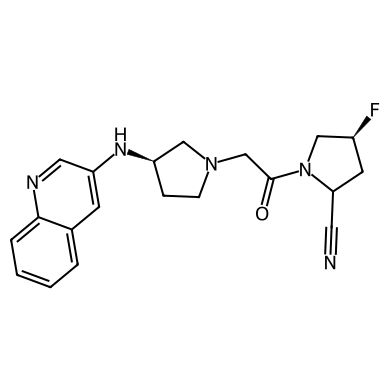 N#CC1C[C@H](F)CN1C(=O)CN1CC[C@@H](Nc2cnc3ccccc3c2)C1